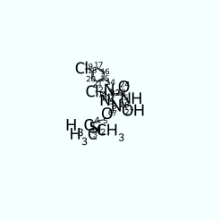 C[Si](C)(C)CCOCN1c2nc(Cl)n(Cc3ccc(Cl)cc3)c2C(=O)NC1O